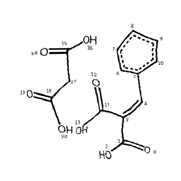 O=C(O)C(=Cc1ccccc1)C(=O)O.O=C(O)CC(=O)O